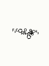 CS(=O)(=O)n1cc(NC(=O)c2ccc(C(F)(F)F)cc2)c2ccccc21